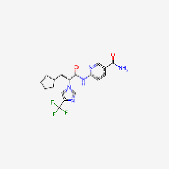 NC(=O)c1ccc(NC(=O)[C@H](CC2CCCC2)n2cnc(C(F)(F)F)c2)nc1